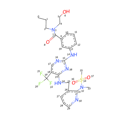 CCCN(CCO)C(=O)c1cccc(Nc2ncc(C(F)(F)F)c(NCc3cccnc3N(C)S(C)(=O)=O)n2)c1